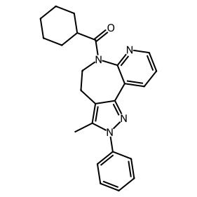 Cc1c2c(nn1-c1ccccc1)-c1cccnc1N(C(=O)C1CCCCC1)CC2